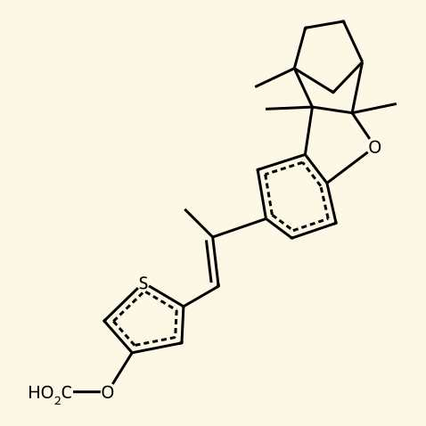 C/C(=C\c1cc(OC(=O)O)cs1)c1ccc2c(c1)C1(C)C3(C)CCC(C3)C1(C)O2